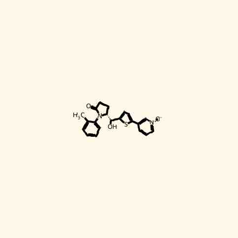 Cc1ccccc1N1C(=O)CC[C@@H]1C(O)c1ccc(-c2ccc[n+]([O-])c2)s1